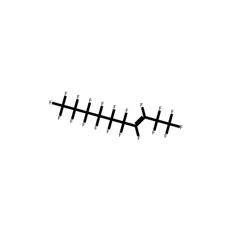 FC(=C(F)C(F)(F)C(F)(F)C(F)(F)C(F)(F)C(F)(F)C(F)(F)F)C(F)(F)C(F)(F)F